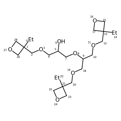 CCC1(COCC(O)COC(COCC2(CC)COC2)COCC2(CC)COC2)COC1